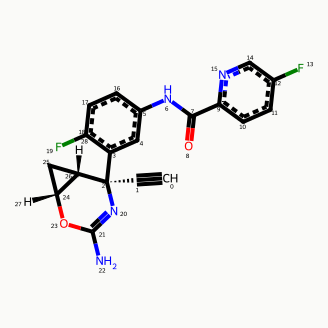 C#C[C@]1(c2cc(NC(=O)c3ccc(F)cn3)ccc2F)N=C(N)O[C@@H]2C[C@@H]21